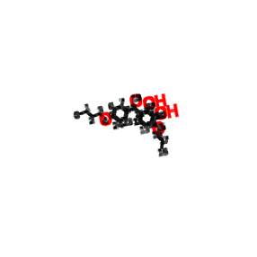 CCCCOc1ccc(C(=O)c2ccc(OCCC)c(O)c2O)cc1